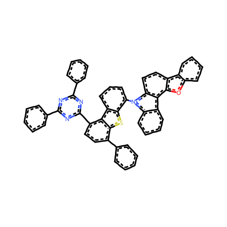 c1ccc(-c2nc(-c3ccccc3)nc(-c3ccc(-c4ccccc4)c4sc5c(-n6c7ccccc7c7c8oc9ccccc9c8ccc76)cccc5c34)n2)cc1